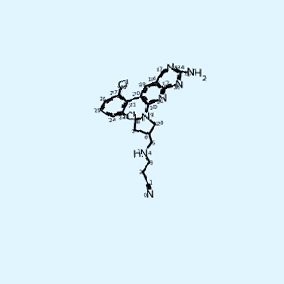 N#CCCNCC1CCN(c2nc3nc(N)ncc3cc2-c2c(Cl)cccc2Cl)C1